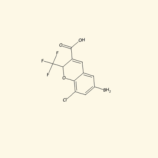 Bc1cc(Cl)c2c(c1)C=C(C(=O)O)C(C(F)(F)F)O2